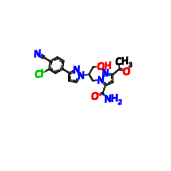 CC(=O)c1cc(C(N)=O)n(CC(CO)n2ccc(-c3ccc(C#N)c(Cl)c3)n2)n1